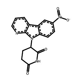 O=C1CCC(n2c3ccc([N+](=O)[O-])cc3c3cccnc32)C(=O)N1